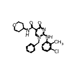 Cc1c(Cl)cccc1Nc1nc(=O)c(C(=O)NC2CCOCC2)cn1Cc1ccccc1